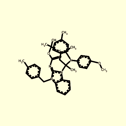 COc1ccc(N(C(C)=O)C(C)(Cc2ccc(C)cc2)n2c(=NC(=O)OC(C)(C)C)n(Cc3ccc(C)cc3)c3ccccc32)cc1